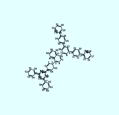 C1=CC(c2ccc(-c3cc(-c4ccc(-c5ccccn5)cc4)cc(-c4ccc(-c5ccccn5)cc4)c3)c3ccccc23)CC=C1c1nc(-c2ccccc2)nc(-c2ccccc2)n1